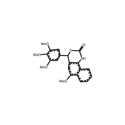 COc1cc(C2OC(=O)Nc3c2cc(OC)c2ccccc32)cc(OC)c1OC